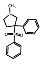 CN1CCC(c2ccccc2)(S(=O)(=O)c2ccccc2)C1